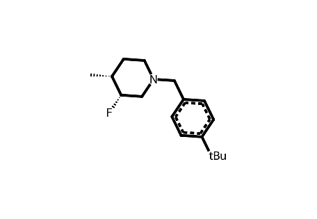 C[C@@H]1CCN(Cc2ccc(C(C)(C)C)cc2)C[C@@H]1F